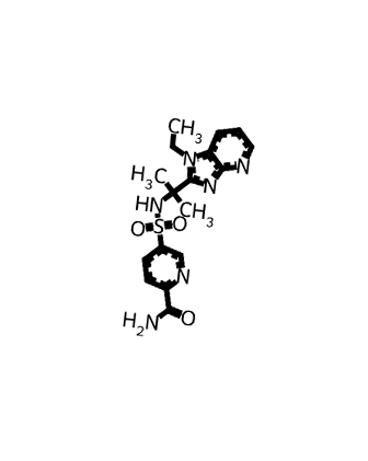 CCn1c(C(C)(C)NS(=O)(=O)c2ccc(C(N)=O)nc2)nc2ncccc21